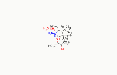 O.O.O=C(O)[C@H](O)[C@@H](O)C(=O)O.[2H]C1([2H])C([C@@H](CC#N)NN)C([2H])([2H])C([2H])([2H])C1([2H])[2H]